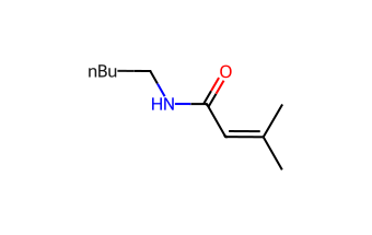 CCCCCNC(=O)C=C(C)C